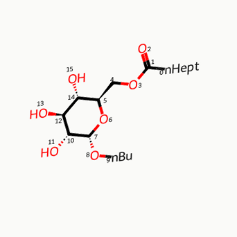 CCCCCCCC(=O)OC[C@H]1O[C@H](OCCCC)[C@H](O)[C@@H](O)[C@@H]1O